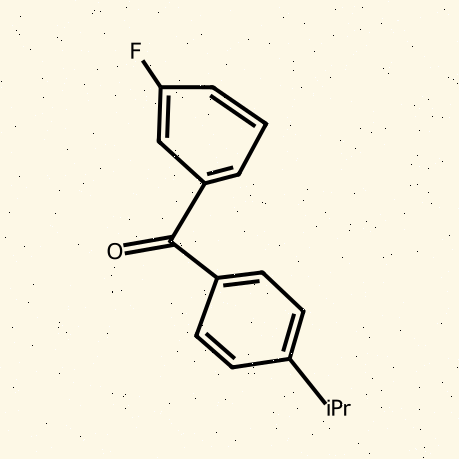 CC(C)c1ccc(C(=O)c2cccc(F)c2)cc1